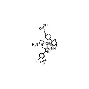 C[C@@H]1CC[C@@H](N)N1Cc1sc(Nc2ncnc(N3CCN(CCC(=O)O)CC3)c2F)nc1-c1ccc(Cl)c(C(F)(F)F)c1